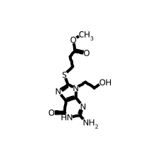 COC(=O)CCSc1nc2c(=O)[nH]c(N)nc2n1CCO